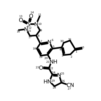 C=C1CC=C(c2nc(C3CN(C)S(=O)(=O)N(C)C3)ccc2NC(=O)C2=NC(C#N)CN2)CC1